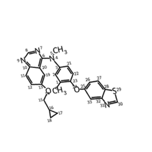 Cc1cc(N(C)c2ncnc3ccc(OCC4CC4)cc23)ccc1Oc1ccc2scnc2c1